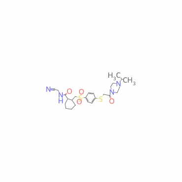 CC(C)N1CCN(C(=O)CSc2ccc(S(=O)(=O)CC3CCCCC3C(=O)NCC#N)cc2)CC1